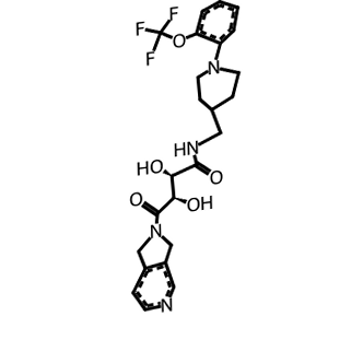 O=C(NCC1CCN(c2ccccc2OC(F)(F)F)CC1)[C@H](O)[C@@H](O)C(=O)N1Cc2ccncc2C1